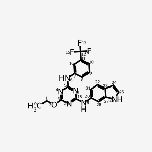 CCOc1nc(Nc2cccc(C(F)(F)F)c2)nc(Nc2ccc3cc[nH]c3c2)n1